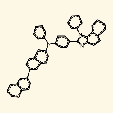 c1ccc(N(c2ccc(-c3nc4ccc5ccccc5c4n3-c3ccccc3)cc2)c2ccc3cc(-c4ccc5ccccc5c4)ccc3c2)cc1